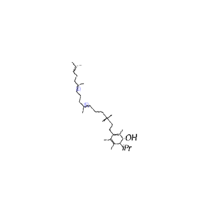 CC(C)=CCC/C(C)=C/CC/C(C)=C/CCC(C)(C)CCC1=C(C)C(O)C(C(C)C)C(C)=C1C